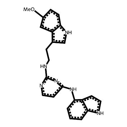 COc1ccc2[nH]cc(CCNc3nccc(Nc4cccc5[nH]ccc45)n3)c2c1